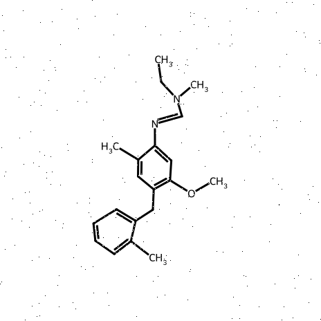 CCN(C)C=Nc1cc(OC)c(Cc2ccccc2C)cc1C